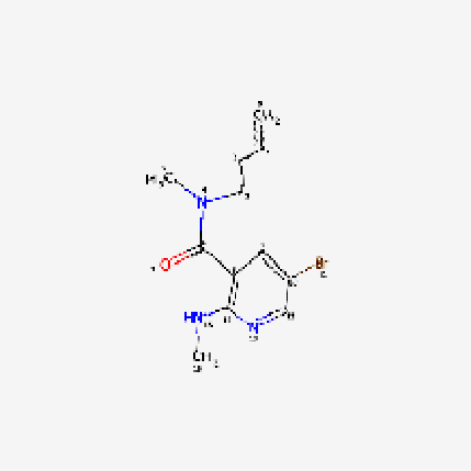 C=CCCN(C)C(=O)c1cc(Br)cnc1NC